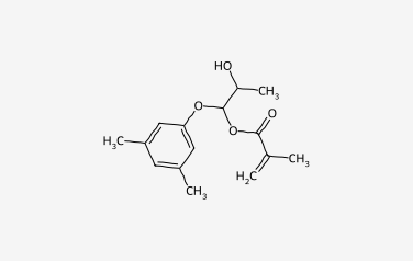 C=C(C)C(=O)OC(Oc1cc(C)cc(C)c1)C(C)O